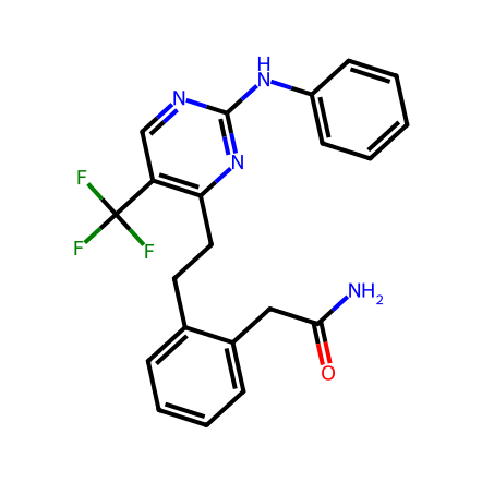 NC(=O)Cc1ccccc1CCc1nc(Nc2ccccc2)ncc1C(F)(F)F